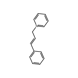 C(=C\c1ccccc1)/C[n+]1ccccc1